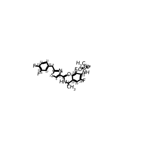 CC(NC(=O)c1csc(Cc2ccc(F)c(F)c2)n1)c1cc(F)c(NS(C)(=O)=O)c(F)c1